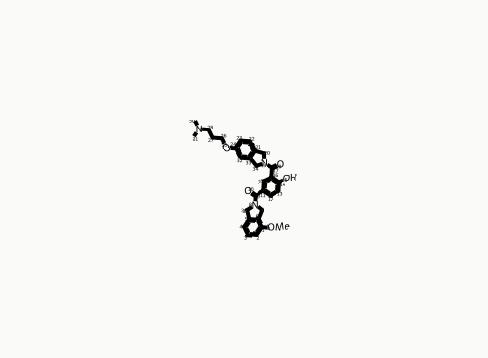 COc1cccc2c1CN(C(=O)c1ccc(O)c(C(=O)N3Cc4ccc(OCCCN(C)C)cc4C3)c1)C2